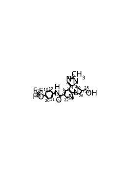 Cc1ncc(-c2cc(C(=O)Nc3ccc(OC(F)(F)F)cc3)cnc2N2CC(CO)C2)cn1